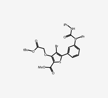 COC(=O)c1sc(-c2cccc(N(C(=O)NC(C)C)C(C)C)c2)c(Br)c1OCC(=O)OC(C)(C)C